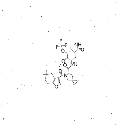 CC1(C)CCc2onc(C(=O)N3CC4(CC4)C[C@H]3C(=O)NC(C[C@@H]3CCNC3=O)C(=O)COC(F)(F)F)c2C1